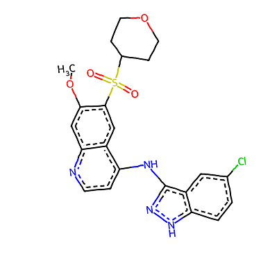 COc1cc2nccc(Nc3n[nH]c4ccc(Cl)cc34)c2cc1S(=O)(=O)C1CCOCC1